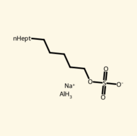 CCCCCCCCCCCCOS(=O)(=O)[O-].[AlH3].[Na+]